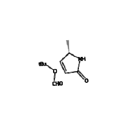 CC(C)(C)OC=O.C[C@H]1C=CC(=O)N1